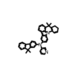 CC1(C)C2=C(C=CCC2)n2c3ccc(N(c4cccnc4)c4ccc5c(c4)C(C)(C)c4ccccc4-5)cc3c3cccc1c32